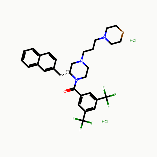 Cl.Cl.O=C(c1cc(C(F)(F)F)cc(C(F)(F)F)c1)N1CCN(CCCN2CCSCC2)C[C@H]1Cc1ccc2ccccc2c1